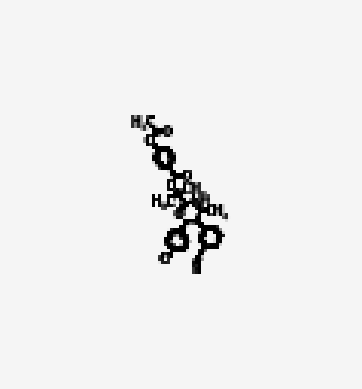 CC(=O)Oc1ccc(C(=O)OC(C)(C)C(=O)NC(C)C(Cc2ccc(Cl)cc2)c2cccc(C#N)c2)cc1